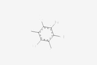 Cc1c(O)c(Br)c(O)c(C)c1Br